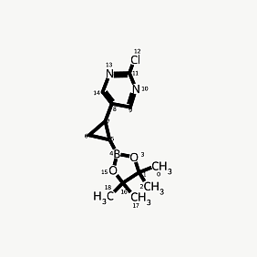 CC1(C)OB(C2CC2c2cnc(Cl)nc2)OC1(C)C